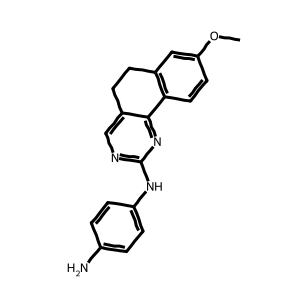 COc1ccc2c(c1)CCc1cnc(Nc3ccc(N)cc3)nc1-2